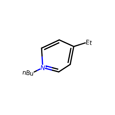 CCCC[n+]1ccc(CC)cc1